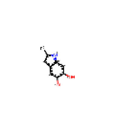 CCc1cc2cc(O)c(O)cc2[nH]1